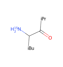 CCC(C)C([15NH2])C(=O)C(C)C